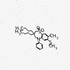 CCCCC1(CCCC)CN(c2ccccc2)c2cc(SC)c(C)cc2S(=O)(=O)C1